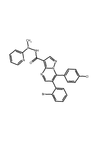 CN(NC(=O)c1cnn2c(-c3ccc(Cl)cc3)c(-c3ccccc3Br)cnc12)c1ccccn1